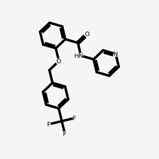 O=C(Nc1cccnc1)c1ccccc1OCc1ccc(C(F)(F)F)cc1